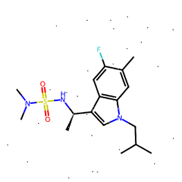 Cc1cc2c(cc1F)c([C@@H](C)NS(=O)(=O)N(C)C)cn2CC(C)C